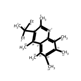 CCC(C)(CC)c1c(C)nc2c(C)c(C)c(C)c(C)c2c1C